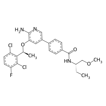 CC[C@@H](COC)NC(=O)c1ccc(-c2cnc(N)c(O[C@@H](C)c3c(Cl)ccc(F)c3Cl)c2)cc1